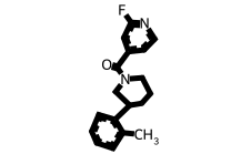 Cc1ccccc1C1CCCN(C(=O)c2ccnc(F)c2)C1